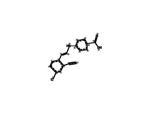 N#Cc1[c]c(Cl)ccc1C=CNc1ccc(C(=O)O)cc1